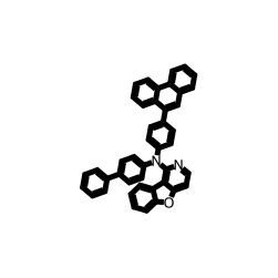 c1ccc(-c2ccc(N(c3ccc(-c4cc5ccccc5c5ccccc45)cc3)c3nccc4oc5ccccc5c34)cc2)cc1